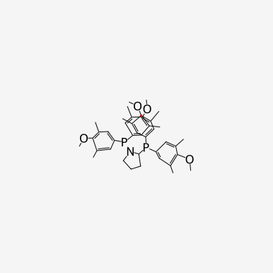 COc1c(C)cc(P(c2cc(C)c(OC)c(C)c2)C2CCCN2P(c2cc(C)c(OC)c(C)c2)c2cc(C)c(OC)c(C)c2)cc1C